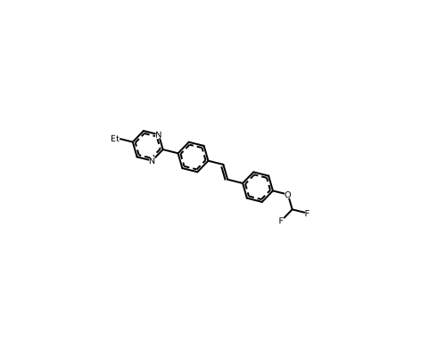 CCc1cnc(-c2ccc(C=Cc3ccc(OC(F)F)cc3)cc2)nc1